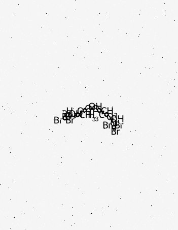 CC(C)(c1ccc(CC(O)COc2c(Br)cc(Br)cc2Br)cc1)c1ccc(OCC(O)COc2ccc(C(C)(C)c3ccc(OCC(O)COc4c(Br)cc(Br)cc4Br)cc3)cc2)cc1